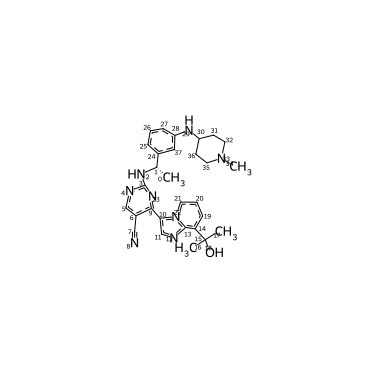 C[C@H](Nc1ncc(C#N)c(-c2cnc3c(C(C)(C)O)cccn23)n1)c1cccc(NC2CCN(C)CC2)c1